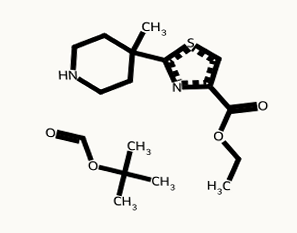 CC(C)(C)OC=O.CCOC(=O)c1csc(C2(C)CCNCC2)n1